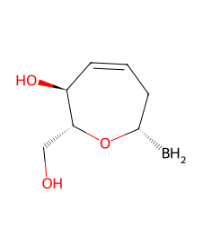 B[C@H]1CC=C[C@H](O)[C@@H](CO)O1